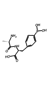 C[C@H](N)C(=O)N[C@@H](Cc1ccc(B(O)O)cc1)C(=O)O